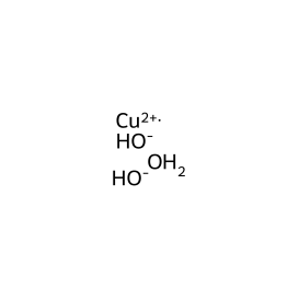 O.[Cu+2].[OH-].[OH-]